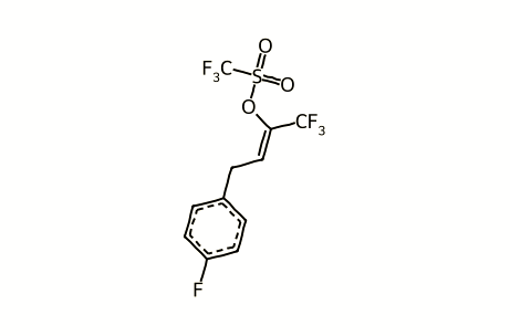 O=S(=O)(OC(=CCc1ccc(F)cc1)C(F)(F)F)C(F)(F)F